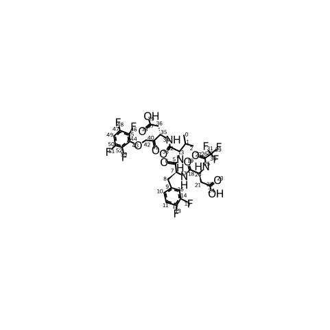 CC(C)[C@H](NC(=O)[C@H](Cc1ccc(F)c(F)c1)NC(=O)[C@H](CC(=O)O)NC(=O)C(F)(F)F)C(=O)N[C@@H](CC(=O)O)C(=O)COc1c(F)c(F)cc(F)c1F